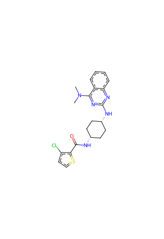 CN(C)c1nc(N[C@H]2CC[C@@H](NC(=O)c3sccc3Cl)CC2)nc2ccccc12